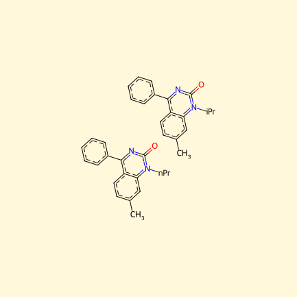 CCCn1c(=O)nc(-c2ccccc2)c2ccc(C)cc21.Cc1ccc2c(-c3ccccc3)nc(=O)n(C(C)C)c2c1